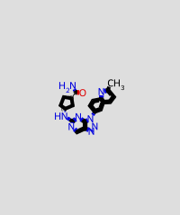 Cc1ccc2cc(-n3nnc4cnc(N[C@@H]5CC[C@H](C(N)=O)C5)nc43)ccc2n1